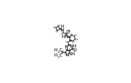 CC(C)c1n[nH]c2c(=O)[nH]c(C[C@@H]3CCCC[C@H]3NC(=O)CNC3CCC3)nc12